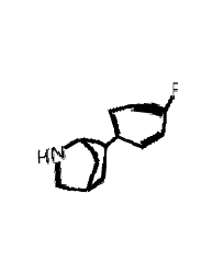 Fc1ccc(C2CC3CNC2C3)cc1